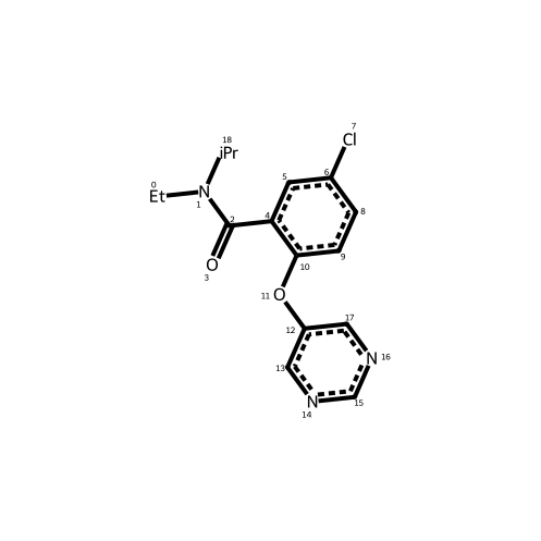 CCN(C(=O)c1cc(Cl)ccc1Oc1cncnc1)C(C)C